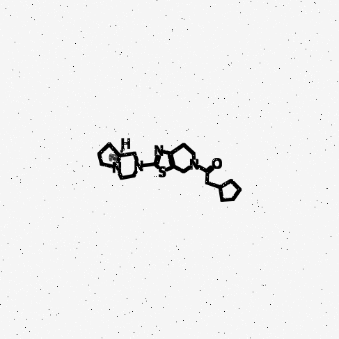 O=C(CC1CCCC1)N1CCc2nc(N3CCN4CCC[C@H]4C3)sc2C1